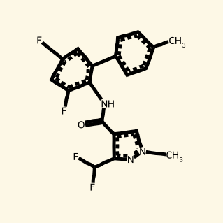 Cc1ccc(-c2cc(F)cc(F)c2NC(=O)c2cn(C)nc2C(F)F)cc1